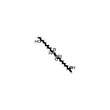 CCC(O)CCCCCCCCC(=O)NCCNC(=O)CCCCCCCCC(O)CC